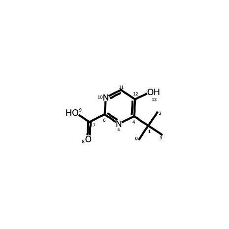 CC(C)(C)c1nc(C(=O)O)ncc1O